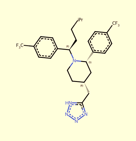 CC(C)CC[C@H](c1ccc(C(F)(F)F)cc1)N1CC[C@@H](Cc2nnn[nH]2)C[C@H]1c1ccc(C(F)(F)F)cc1